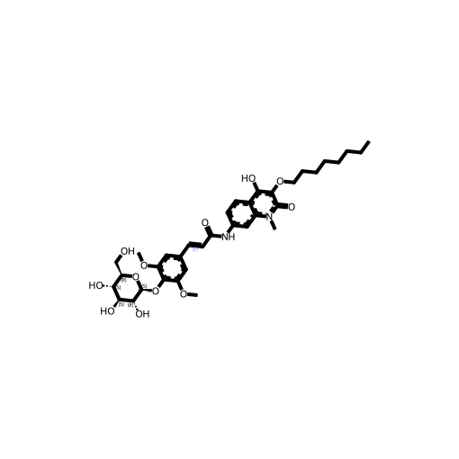 CCCCCCCCOc1c(O)c2ccc(NC(=O)/C=C/c3cc(OC)c(O[C@@H]4O[C@H](CO)[C@@H](O)[C@H](O)[C@H]4O)c(OC)c3)cc2n(C)c1=O